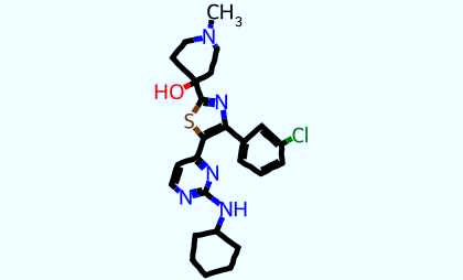 CN1CCC(O)(c2nc(-c3cccc(Cl)c3)c(-c3ccnc(NC4CCCCC4)n3)s2)CC1